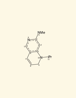 CNc1cc2c(cn1)C=CCN2C(C)C